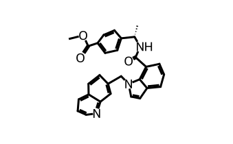 COC(=O)c1ccc([C@H](C)NC(=O)c2cccc3ccn(Cc4ccc5cccnc5c4)c23)cc1